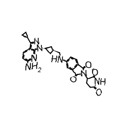 Nc1ccc2c(C3CC3)nn([C@H]3C[C@H](CNc4ccc5c(c4)C(=O)N(C4CCC(=O)NC4=O)C5=O)C3)c2n1